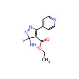 CCOC(=O)C1=C(c2ccncc2)N=NC1(N)I